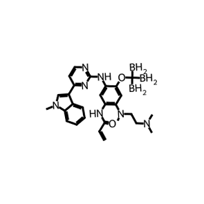 BC(B)(B)Oc1cc(N(C)CCN(C)C)c(NC(=O)C=C)cc1Nc1nccc(-c2cn(C)c3ccccc23)n1